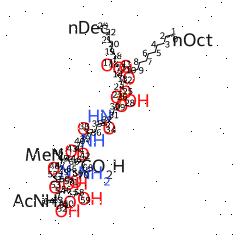 CCCCCCCC/C=C\CCCCCCCC(=O)O[C@H](COC(=O)CCCCCCCCCCCCCCC)COP(=O)(O)OCCNC(=O)CCC(=O)NCC(=O)OC[C@H](NC)C(=O)N(CC(C)O[C@H]1[C@H](O)[C@@H](CO)O[C@H](O)[C@@H]1NC(C)=O)[C@H](CCC(=O)O)C(N)=O